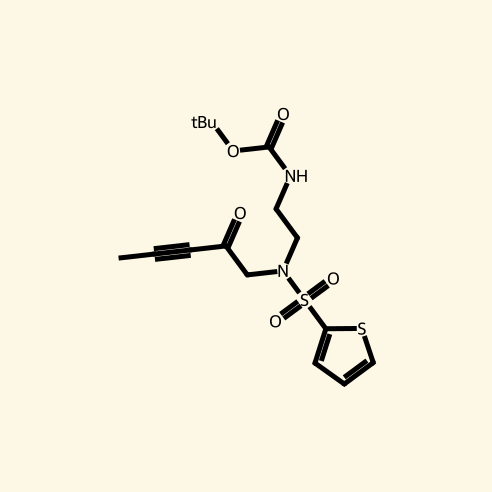 CC#CC(=O)CN(CCNC(=O)OC(C)(C)C)S(=O)(=O)c1cccs1